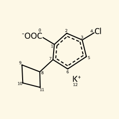 O=C([O-])c1cc(Cl)ccc1C1CCC1.[K+]